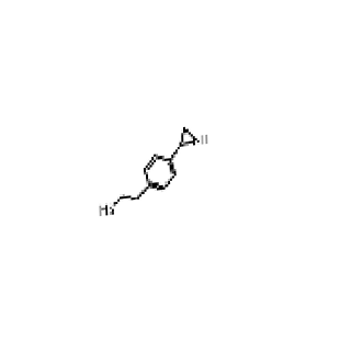 SCCc1ccc(C2CN2)cc1